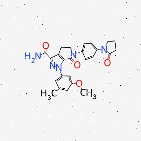 COc1cc(C)cc(-n2nc(C(N)=O)c3c2C(=O)N(c2ccc(N4CCCC4=O)cc2)CC3)c1